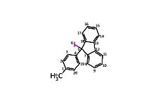 Cc1ccc(C2(I)c3ccccc3-c3ccccc32)cc1